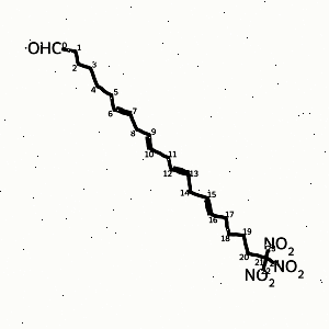 O=[C]CCCCCC=CCC=CCC=CCC=CCCCCC([N+](=O)[O-])([N+](=O)[O-])[N+](=O)[O-]